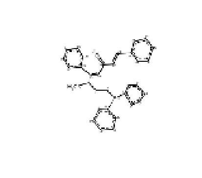 CCCCP(c1ccccc1)c1ccccc1.O=C(/C=C\c1ccccc1)/C=C/c1ccccc1